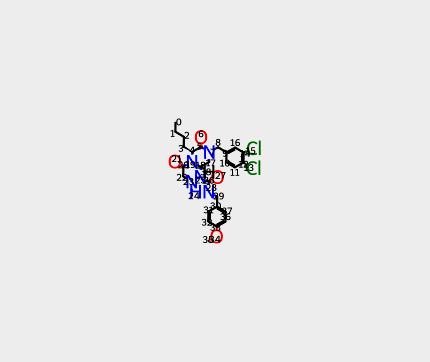 CCCC[C@H]1C(=O)N(Cc2ccc(Cl)c(Cl)c2)C[C@H]2N1C(=O)CN(C)N2C(=O)NCc1ccc(OC)cc1